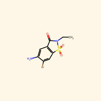 CCN1C(=O)c2cc(N)c(Br)cc2S1(=O)=O